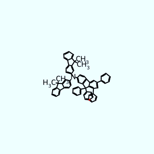 CC1(C)c2ccccc2-c2ccc(N(c3ccc4c(c3)C(C)(C)c3ccccc3-4)c3ccc4c(c3)C(c3ccccc3)(c3ccccc3)c3c(-c5ccccc5)cc(-c5ccccc5)cc3-4)cc21